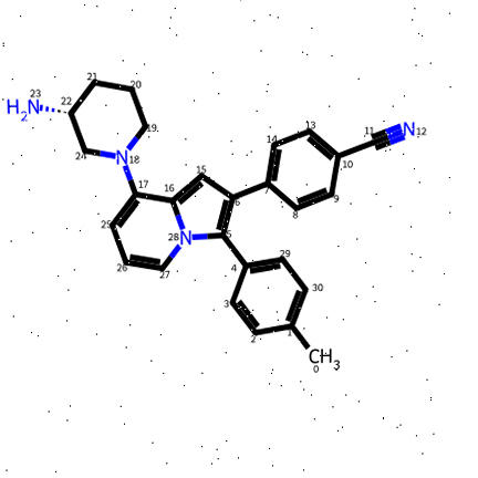 Cc1ccc(-c2c(-c3ccc(C#N)cc3)cc3c(N4CCC[C@@H](N)C4)cccn23)cc1